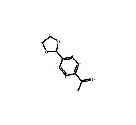 CC(=O)c1ccc(C2OCCO2)cc1